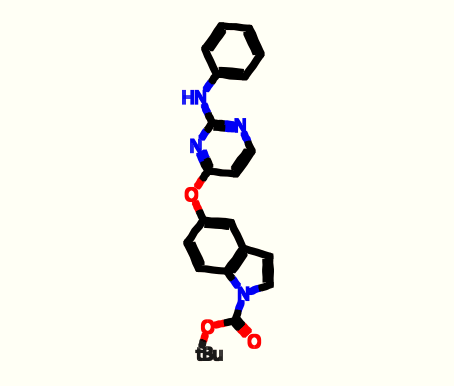 CC(C)(C)OC(=O)n1ccc2cc(Oc3ccnc(Nc4ccccc4)n3)ccc21